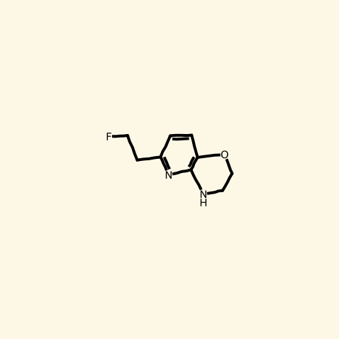 FCCc1ccc2c(n1)NCCO2